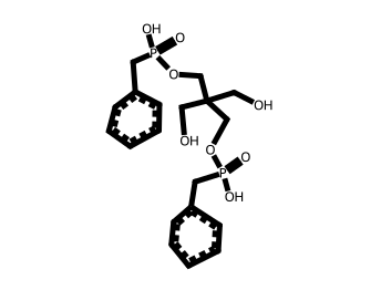 O=P(O)(Cc1ccccc1)OCC(CO)(CO)COP(=O)(O)Cc1ccccc1